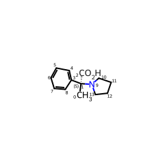 C[C@@](C(=O)O)(c1ccccc1)N1CCCC1